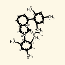 Cc1cc(C)c(-c2cccc3cn(-c4c(C)cc(C)cc4C)[c](=[Au][Cl])n23)c(C)c1